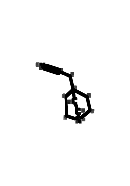 N#CCC12CCN(CC1)CC2